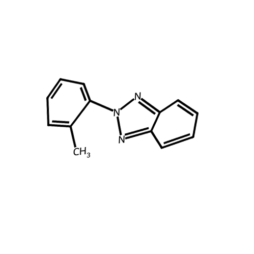 Cc1ccccc1-n1nc2ccccc2n1